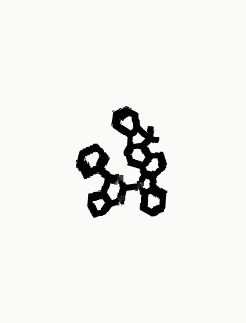 CC1(C)c2ccccc2-c2ccc3c(ccc4c5ccccc5n(-c5nc(-c6ccccc6)c6ccccc6n5)c34)c21